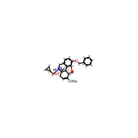 COC1=CC[C@@]2(O)[C@H]3Cc4ccc(OCc5ccccc5)c5c4[C@@]2(CCN3CC2CC2)[C@H]1O5